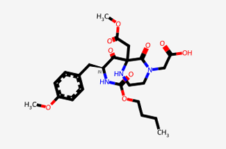 CCCCOC(=O)N[C@@H](Cc1ccc(OC)cc1)C(=O)C1(CC(=O)OC)NCCN(CC(=O)O)C1=O